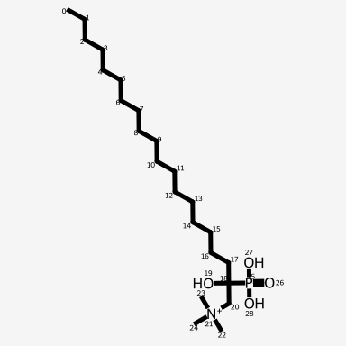 CCCCCCCCCCCCCCCCCCC(O)(C[N+](C)(C)C)P(=O)(O)O